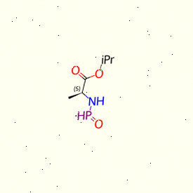 CC(C)OC(=O)[C@H](C)N[PH]=O